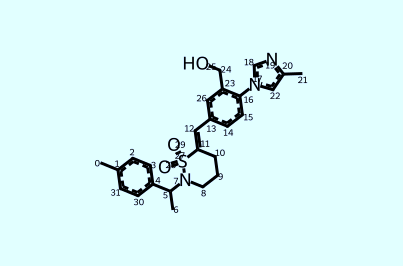 Cc1ccc(C(C)N2CCC/C(=C\c3ccc(-n4cnc(C)c4)c(CO)c3)S2(=O)=O)cc1